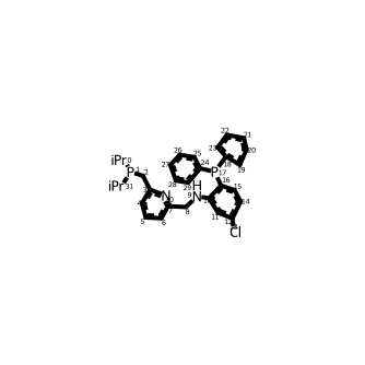 CC(C)P(Cc1cccc(CNc2cc(Cl)ccc2P(c2ccccc2)c2ccccc2)n1)C(C)C